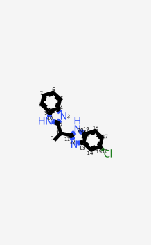 C[C](c1nc2ccccc2[nH]1)c1nc2cc(Cl)ccc2[nH]1